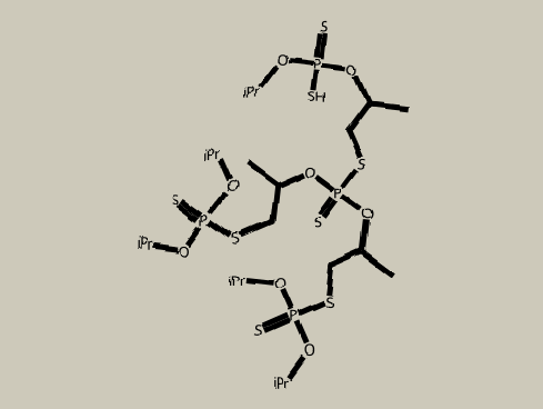 CC(C)OP(=S)(S)OC(C)CSP(=S)(OC(C)CSP(=S)(OC(C)C)OC(C)C)OC(C)CSP(=S)(OC(C)C)OC(C)C